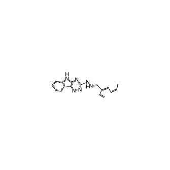 C=CC(/C=N/Nc1nnc2c(n1)[nH]c1ccccc12)=C\C=C/C